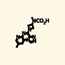 Cc1cnc2nc(N3CC(N(C)C(=O)O)C3)c3nncn3c2c1